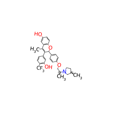 CC1=C(c2ccc(C(F)(F)F)c(O)c2)C(c2ccc(OC[C@H](C)N3CC[C@@H](C)C3)cc2)Oc2ccc(O)cc21